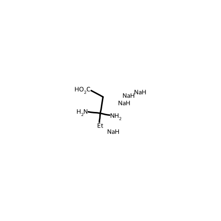 CCC(N)(N)CC(=O)O.[NaH].[NaH].[NaH].[NaH]